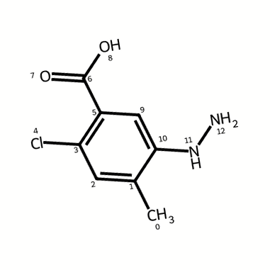 Cc1cc(Cl)c(C(=O)O)cc1NN